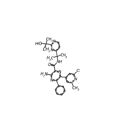 Cc1cc(-c2nc(C(=O)NC(C)(C)c3ccnc(C(C)(C)O)n3)c(N)nc2-c2ccccc2)cc(Cl)n1